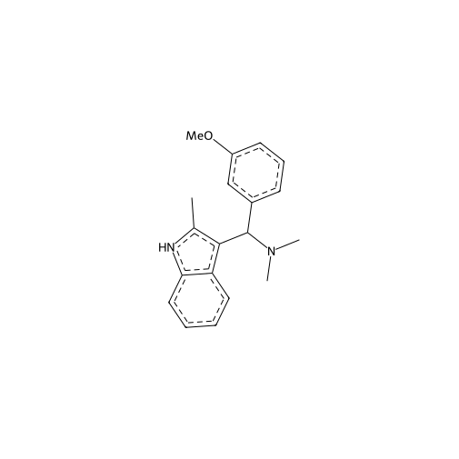 COc1cccc(C(c2c(C)[nH]c3ccccc23)N(C)C)c1